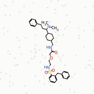 CN(C)C(CCc1ccccc1)C1CCC(CNC(=O)COCCNS(=O)(=O)c2ccccc2Cc2ccccc2)CC1